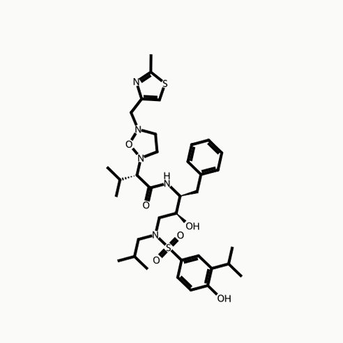 Cc1nc(CN2CCN([C@H](C(=O)N[C@@H](Cc3ccccc3)[C@@H](O)CN(CC(C)C)S(=O)(=O)c3ccc(O)c(C(C)C)c3)C(C)C)O2)cs1